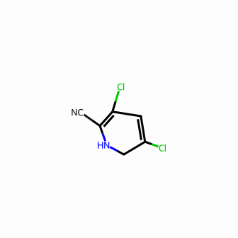 N#CC1=C(Cl)C=C(Cl)CN1